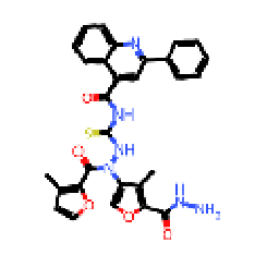 Cc1ccoc1C(=O)N(NC(=S)NC(=O)c1cc(-c2ccccc2)nc2ccccc12)c1coc(C(=O)NN)c1C